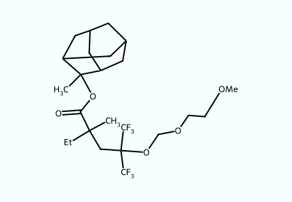 CCC(C)(CC(OCOCCOC)(C(F)(F)F)C(F)(F)F)C(=O)OC1(C)C2CC3CC(C2)CC1C3